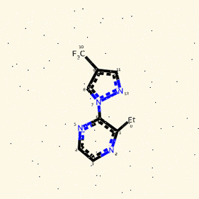 CCc1nccnc1-n1cc(C(F)(F)F)cn1